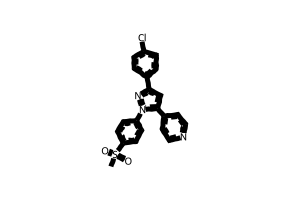 CS(=O)(=O)c1ccc(-n2nc(-c3ccc(Cl)cc3)cc2-c2ccncc2)cc1